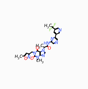 Cc1cc(Cn2c(=O)c3c(ncn3[C@@H](C)C(=O)Nc3cncc(-c4cncc(C(C)(F)F)c4)n3)n(C)c2=O)no1